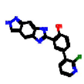 Oc1ccc(-c2cccnc2Cl)cc1-c1nc2cc3c[nH]nc3cc2[nH]1